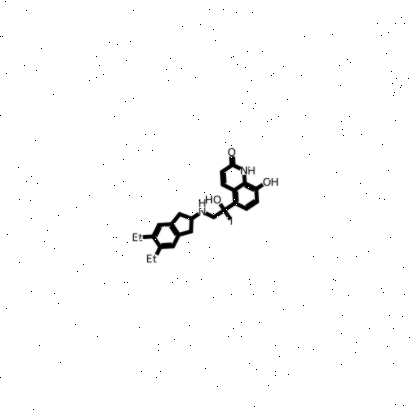 CCc1cc2c(cc1CC)CC(NCC(O)(I)c1ccc(O)c3[nH]c(=O)ccc13)C2